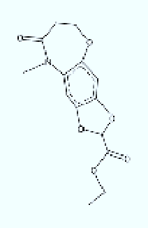 CCOC(=O)C1Oc2cc3c(cc2O1)N(C)C(=O)CCO3